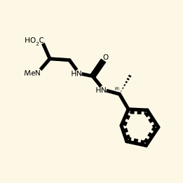 CNC(CNC(=O)N[C@H](C)c1ccccc1)C(=O)O